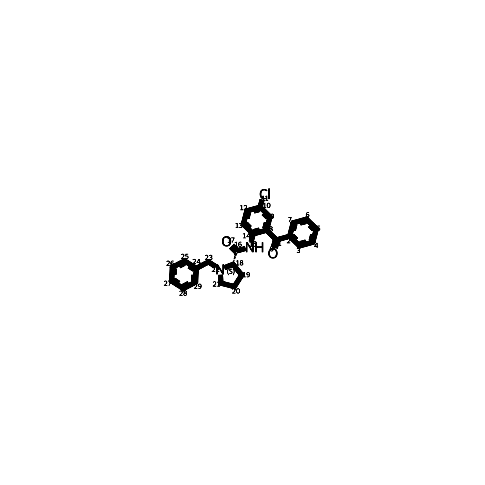 O=C(c1ccccc1)c1cc(Cl)ccc1NC(=O)[C@@H]1CCCN1Cc1ccccc1